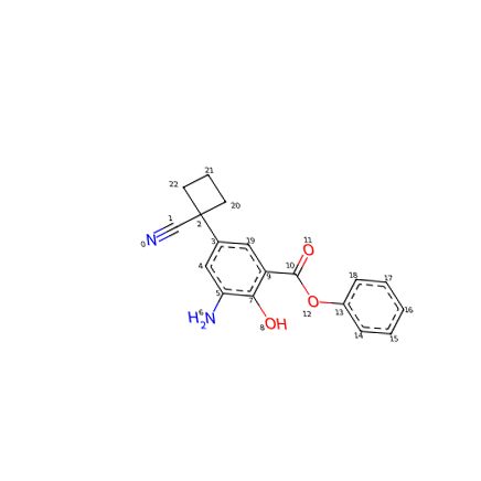 N#CC1(c2cc(N)c(O)c(C(=O)Oc3ccccc3)c2)CCC1